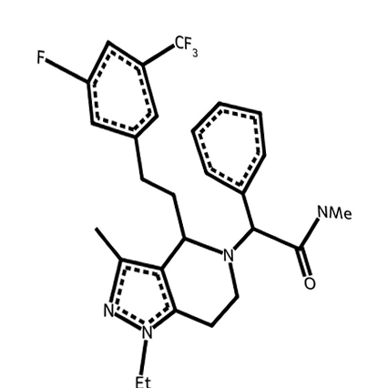 CCn1nc(C)c2c1CCN(C(C(=O)NC)c1ccccc1)C2CCc1cc(F)cc(C(F)(F)F)c1